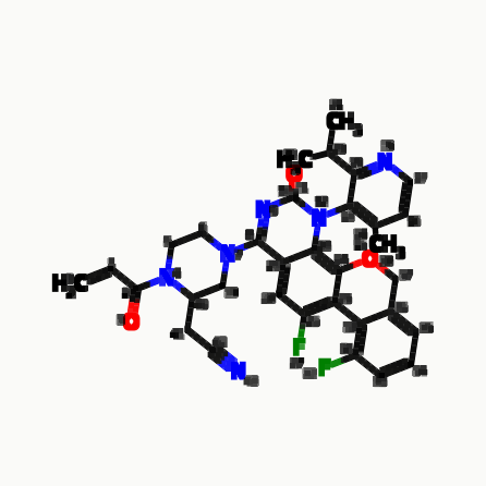 C=CC(=O)N1CCN(c2nc(=O)n(-c3c(C)ccnc3C(C)C)c3c4c(c(F)cc23)-c2c(F)cccc2CO4)CC1CC#N